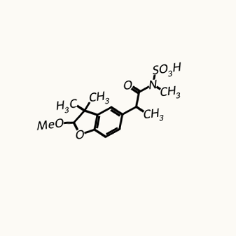 COC1Oc2ccc(C(C)C(=O)N(C)S(=O)(=O)O)cc2C1(C)C